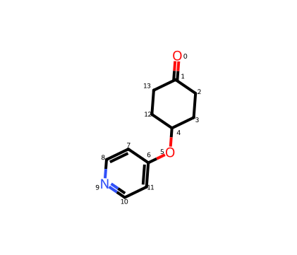 O=C1CCC(Oc2ccncc2)CC1